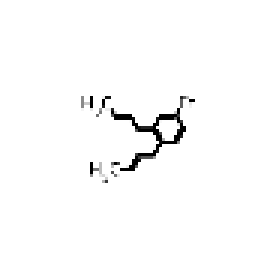 [CH2]Cc1ccc(CC=CC)c(CC=CC)c1